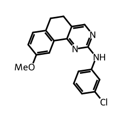 COc1ccc2c(c1)-c1nc(Nc3cccc(Cl)c3)ncc1CC2